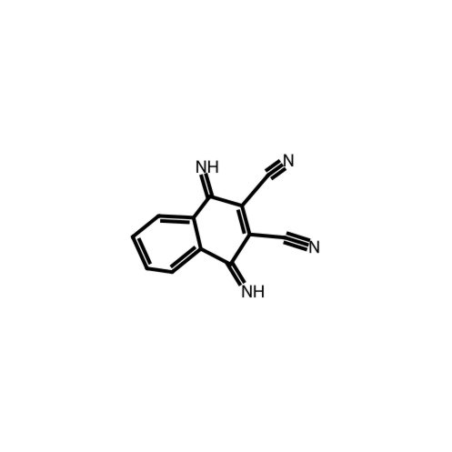 N#CC1=C(C#N)C(=N)c2ccccc2C1=N